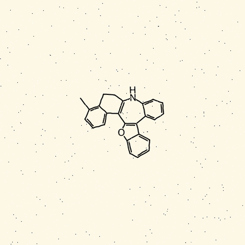 Cc1cccc2c1CCC1=C2c2oc3ccccc3c2-c2ccccc2N1